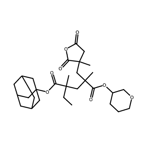 CCC(C)(CC(C)(CC1(C)CC(=O)OC1=O)C(=O)OC1CCCOC1)C(=O)OC12CC3CC(CC(C3)C1)C2